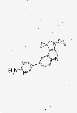 CN1CC2(CC2)c2c1cnc1ccc(-c3cnc(N)nc3)cc21